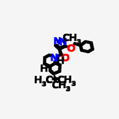 Cn1ncc(C(=O)N2CCC[C@H]3C[C@@H](C(C)(C)C)CC[C@@H]32)c1OCC1CCCCC1